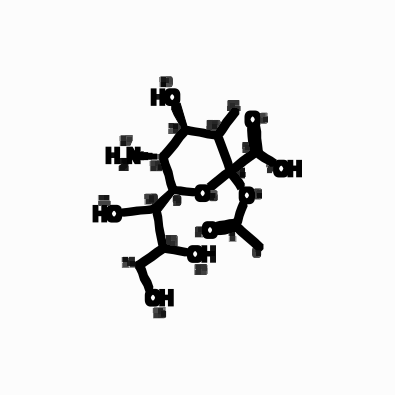 CC(=O)OC1(C(=O)O)O[C@@H](C(O)C(O)CO)[C@H](N)[C@@H](O)C1C